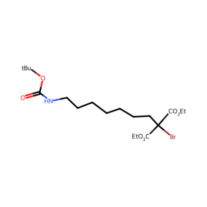 CCOC(=O)C(Br)(CCCCCCCNC(=O)OC(C)(C)C)C(=O)OCC